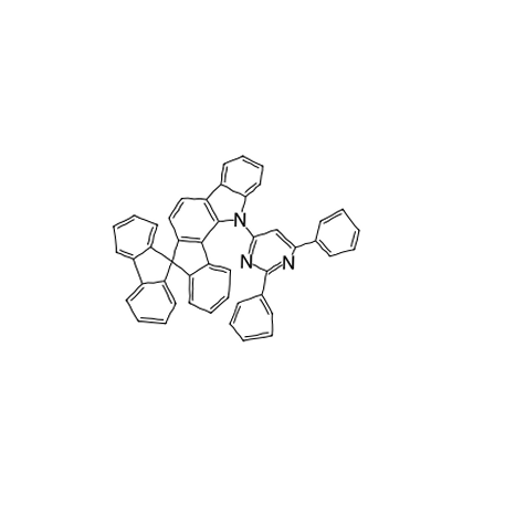 c1ccc(-c2cc(-n3c4ccccc4c4ccc5c(c43)-c3ccccc3C53c4ccccc4-c4ccccc43)nc(-c3ccccc3)n2)cc1